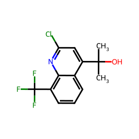 CC(C)(O)c1cc(Cl)nc2c(C(F)(F)F)cccc12